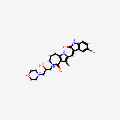 Cc1c(/C=C2\C(=O)Nc3ccc(F)cc32)[nH]c2c1C(=O)N(CC(O)CN1CCOCC1)CCC2